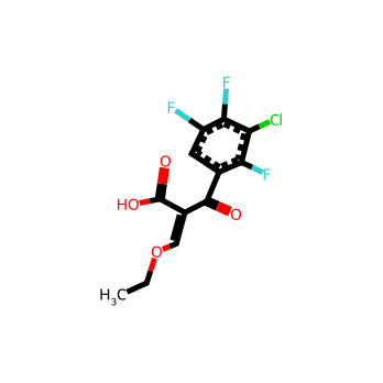 CCOC=C(C(=O)O)C(=O)c1cc(F)c(F)c(Cl)c1F